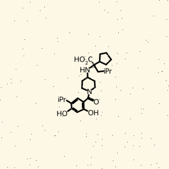 CC(C)C[C@@](NC1CCN(C(=O)c2cc(C(C)C)c(O)cc2O)CC1)(C(=O)O)C1CCCC1